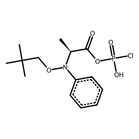 C[C@@H](C(=O)OP(=O)(O)Cl)N(OCC(C)(C)C)c1ccccc1